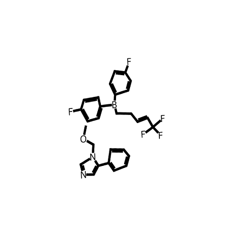 COCn1cncc1-c1ccccc1.Fc1ccc(B(CCC=CC(F)(F)F)c2ccc(F)cc2)cc1